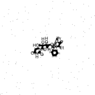 C#C[C@]1(O)[C@H](n2ccc(=O)[nH]c2=O)O[C@@H]2C(OP(=S)(NC(CC)C(=O)OC(C)C)Oc3ccccc3)[C@@]21O